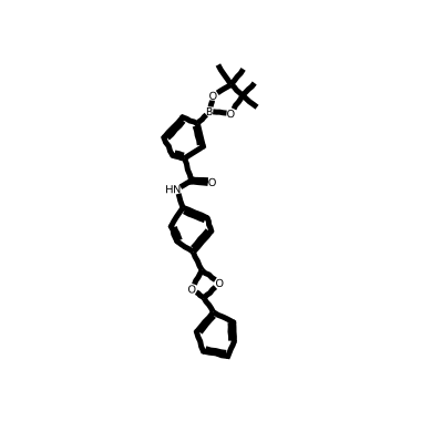 CC1(C)OB(c2cccc(C(=O)Nc3ccc(C4OC(c5ccccc5)O4)cc3)c2)OC1(C)C